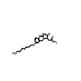 NC(=O)CC1C(=O)NC2=Nc3ccc(OCCCCCCCO)cc3CN21